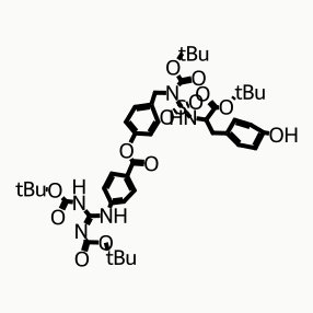 CC(C)(C)OC(=O)N=C(NC(=O)OC(C)(C)C)Nc1ccc(C(=O)Oc2ccc(CN(C(=O)OC(C)(C)C)S(=O)(=O)NC(Cc3ccc(O)cc3)C(=O)OC(C)(C)C)cc2)cc1